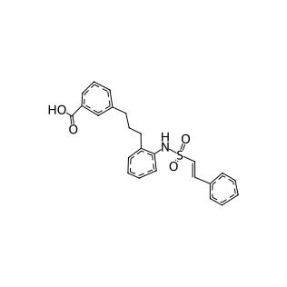 O=C(O)c1cccc(CCCc2ccccc2NS(=O)(=O)C=Cc2ccccc2)c1